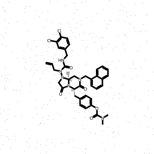 C=CCN(C(=O)NCc1ccc(Cl)c(Cl)c1)N1CC(=O)N2[C@@H](Cc3ccc(OC(=O)N(C)C)cc3)C(=O)N(Cc3cccc4ccccc34)C[C@@H]21